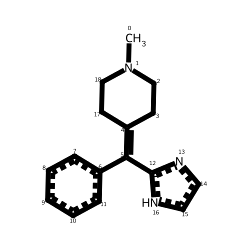 CN1CCC(=C(c2ccccc2)c2ncc[nH]2)CC1